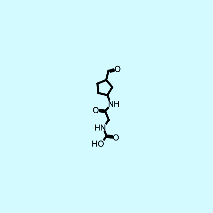 O=CC1CCC(NC(=O)CNC(=O)O)C1